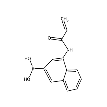 C=CC(=O)Nc1cc(B(O)O)cc2ccccc12